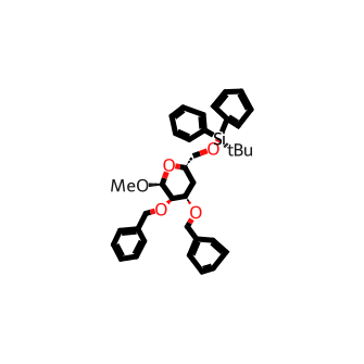 CO[C@H]1O[C@H](CO[Si](c2ccccc2)(c2ccccc2)C(C)(C)C)C[C@H](OCc2ccccc2)[C@H]1OCc1ccccc1